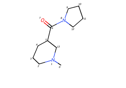 CN1CCCC(C(=O)N2CCCC2)C1